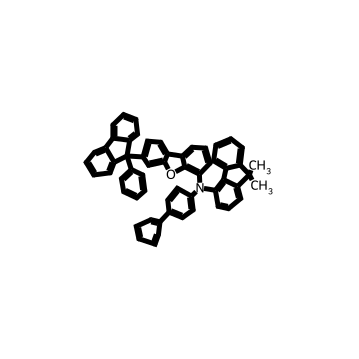 CC1(C)c2ccccc2-c2c(N(c3ccc(-c4ccccc4)cc3)c3cccc4c3oc3cc(C5(c6ccccc6)c6ccccc6-c6ccccc65)ccc34)cccc21